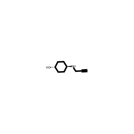 C#CCN[C@H]1CC[C@H](O)CC1